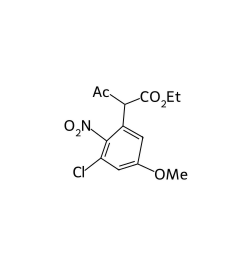 CCOC(=O)C(C(C)=O)c1cc(OC)cc(Cl)c1[N+](=O)[O-]